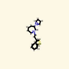 c1ccc2c(CCN3CCCCC(N4CCCC4)C3)csc2c1